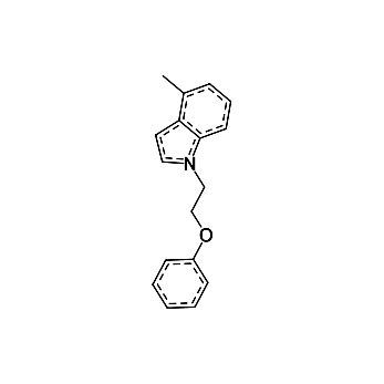 Cc1cccc2c1ccn2CCOc1ccccc1